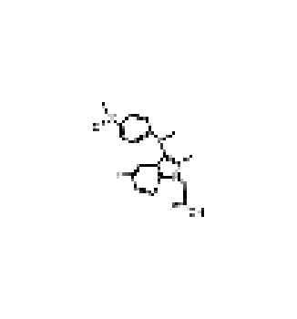 Cc1c(C(C)c2ccc([S+](C)[O-])cc2)c2cc(F)ccc2n1CC(=O)O